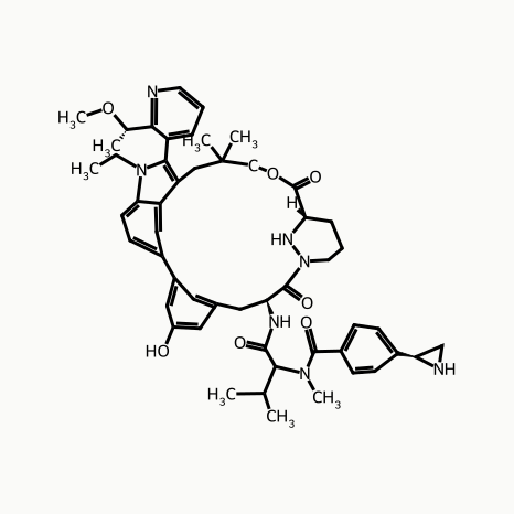 CCn1c(-c2cccnc2[C@H](C)OC)c2c3cc(ccc31)-c1cc(O)cc(c1)C[C@H](NC(=O)C(C(C)C)N(C)C(=O)c1ccc([C@H]3CN3)cc1)C(=O)N1CCC[C@H](N1)C(=O)OCC(C)(C)C2